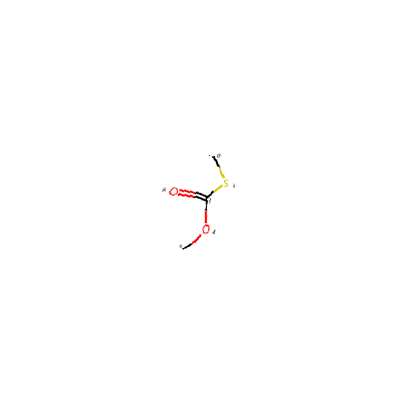 [CH2]SC(=O)OC